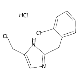 Cl.ClCc1cnc(Cc2ccccc2Cl)[nH]1